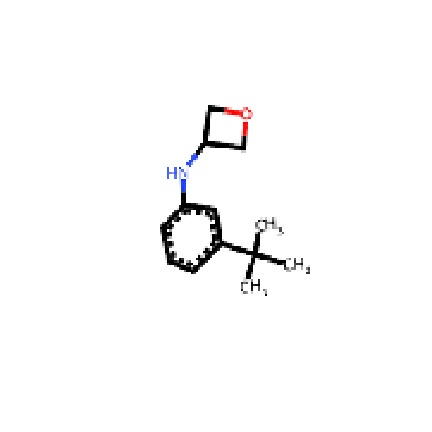 CC(C)(C)c1cccc(NC2COC2)c1